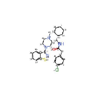 O=C(Cc1ccc(Cl)cc1)NC[C@H]1CCCC[C@H]1CN1CCN(c2nsc3ccccc23)CC1